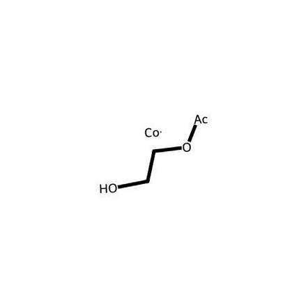 CC(=O)OCCO.[Co]